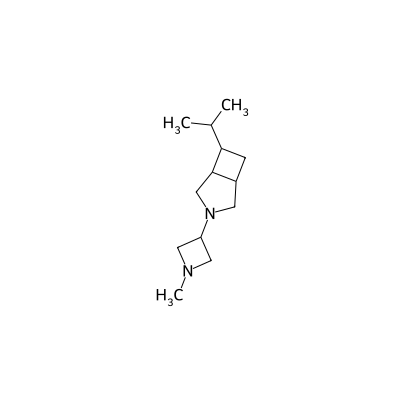 CC(C)C1CC2CN(C3CN(C)C3)CC21